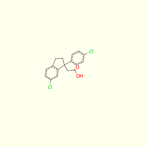 O=C(O)CC1(c2ccc(Cl)cc2)CCc2ccc(Cl)cc21